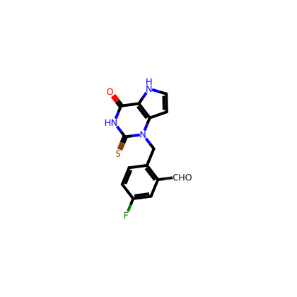 O=Cc1cc(F)ccc1Cn1c(=S)[nH]c(=O)c2[nH]ccc21